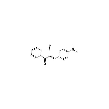 CN(C)c1ccc(/C=C(\C#N)C(=O)c2ccccc2)cc1